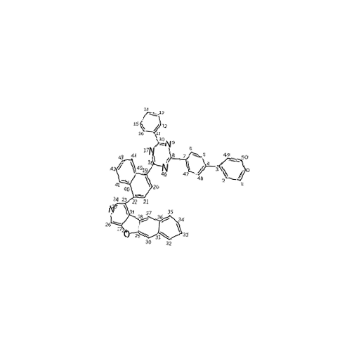 c1ccc(-c2ccc(-c3nc(-c4ccccc4)nc(-c4ccc(-c5cncc6oc7cc8ccccc8cc7c56)c5ccccc45)n3)cc2)cc1